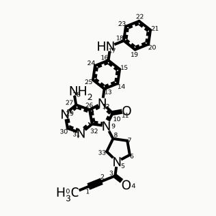 CC#CC(=O)N1CCC(n2c(=O)n(-c3ccc(Nc4ccccc4)cc3)c3c(N)ncnc32)C1